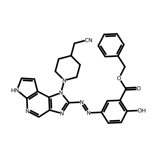 N#CCC1CCN(n2c(/N=N/c3ccc(O)c(C(=O)OCc4ccccc4)c3)nc3cnc4[nH]ccc4c32)CC1